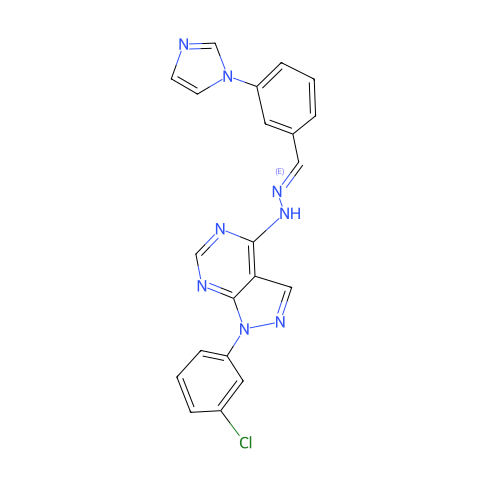 Clc1cccc(-n2ncc3c(N/N=C/c4cccc(-n5ccnc5)c4)ncnc32)c1